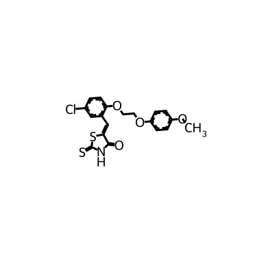 COc1ccc(OCCOc2ccc(Cl)cc2/C=C2\SC(=S)NC2=O)cc1